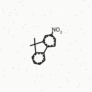 CC1(C)c2ccccc2-c2ccc([N+](=O)[O-])cc21